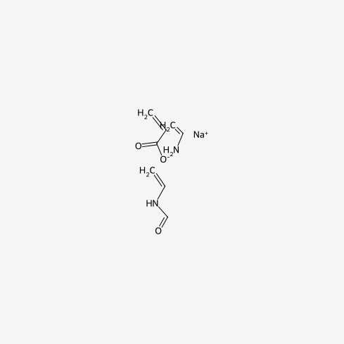 C=CC(=O)[O-].C=CN.C=CNC=O.[Na+]